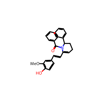 COc1cc(C=CC2=CCCC(c3ccccc3)N2C(=O)c2ccccc2)ccc1O